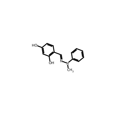 CN(/N=C/c1ccc(O)cc1O)c1ccccc1